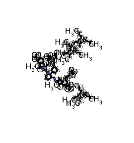 CC1(C)C(/C=C/C2=C(c3cccc(OCCCCO)c3)C(=C/C=C3\N(CCCS(=O)(=O)[O-])c4ccc(S(=O)(=O)[O-])cc4C3(C)C)/CCC2)=Nc2c1cc(S(=O)(=O)[O-])c[n+]2CCCS(=O)(=O)[O-].CCCC[N+](CCCC)(CCCC)CCCC.CCCC[N+](CCCC)(CCCC)CCCC.CCCC[N+](CCCC)(CCCC)CCCC